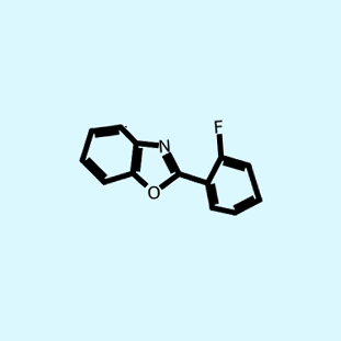 Fc1ccccc1-c1nc2[c]cccc2o1